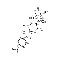 COc1ccc(S(=O)(=O)N2C[C@@H](C)N(C(=O)C(C)(O)C(F)(F)F)C[C@H]2C)cc1